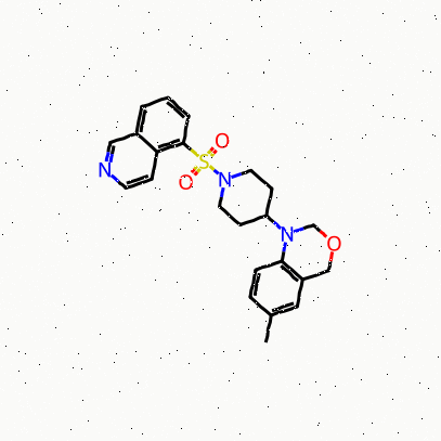 Cc1ccc2c(c1)COCN2C1CCN(S(=O)(=O)c2cccc3cnccc23)CC1